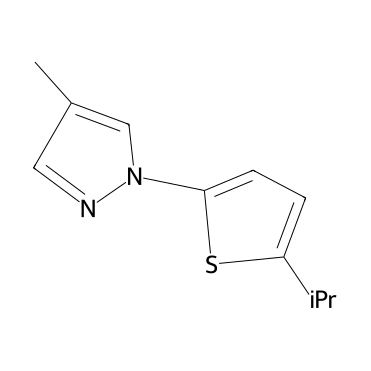 Cc1cnn(-c2ccc(C(C)C)s2)c1